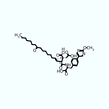 CCCCCCCC(=O)CCCCCC/C=C/[C@H](C(=O)N[C@@H](Cc1ccc(-c2cnc(OC)nc2)cc1)C(=O)O)[C@@H](CC(=O)O)C(=O)O